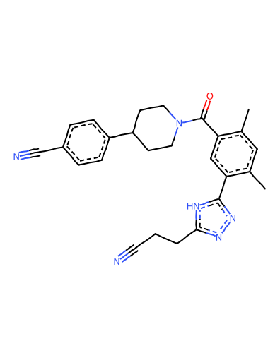 Cc1cc(C)c(-c2nnc(CCC#N)[nH]2)cc1C(=O)N1CCC(c2ccc(C#N)cc2)CC1